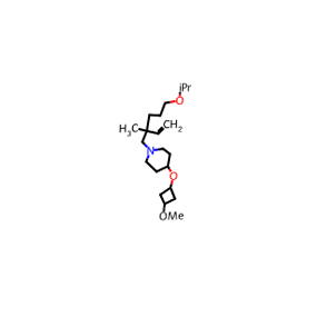 C=CC(C)(CCCOC(C)C)CN1CCC(OC2CC(OC)C2)CC1